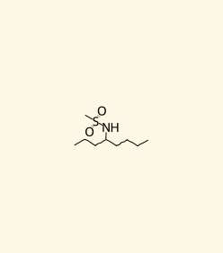 CCCCC(CCC)NS(C)(=O)=O